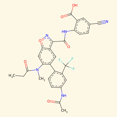 CCC(=O)N(C)c1cc2onc(C(=O)Nc3ccc(C#N)cc3C(=O)O)c2cc1-c1ccc(NC(C)=O)cc1C(F)(F)F